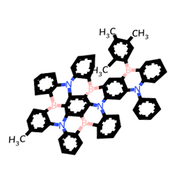 Cc1ccc2c(c1)N1c3ccccc3B3c4ccccc4N4c5cc6c(cc5B5c7ccccc7N7c8ccccc8B2c2c7c5c4c3c21)B(c1cc(C)c(C)cc1C)c1ccccc1N6c1ccccc1